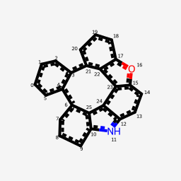 c1ccc2c(c1)c1cccc3[nH]c4ccc5oc6cccc2c6c5c4c31